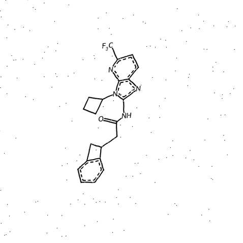 O=C(CC1Cc2ccccc21)Nc1nc2ccc(C(F)(F)F)nc2n1C1CCC1